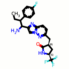 CCC(c1ccc(F)cc1)C(N)c1cn2nc(C[C@H]3C[C@@H](C(F)(F)F)NC3=O)ccc2n1